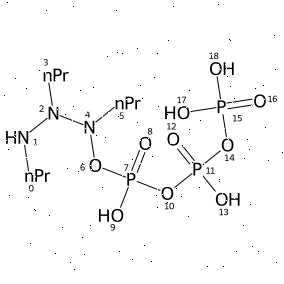 CCCNN(CCC)N(CCC)OP(=O)(O)OP(=O)(O)OP(=O)(O)O